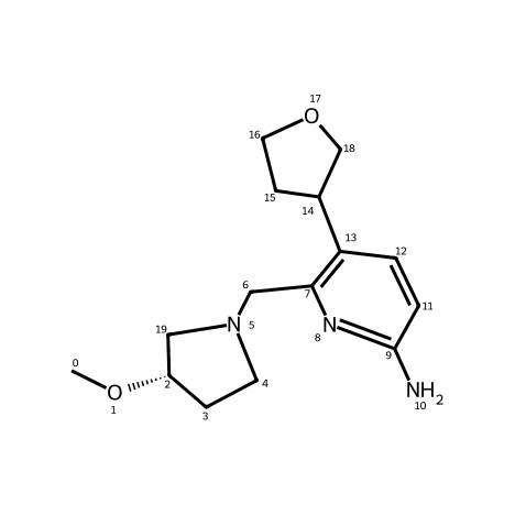 CO[C@H]1CCN(Cc2nc(N)ccc2C2CCOC2)C1